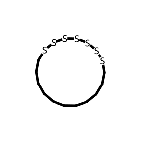 C1CCCCCSSSSSSSCCCCC1